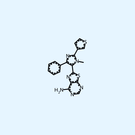 Cn1c(-c2ccsc2)nc(-c2ccccc2)c1-c1nc2c(N)ncnc2s1